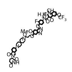 COc1cc2c(Oc3ccc(NC(=O)c4c(C)n(C)c5ccc(OC(F)(F)F)cc5c4=O)cc3F)ncnc2cc1OCCC(=O)N1CCC2(CC1)CCN(c1ccc3c(c1)CN(C1CCC(=O)NC1=O)C3=O)CC2